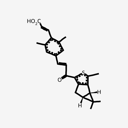 Cc1cc(/C=C/C(=O)c2sc(C)c3c2C[C@@H]2[C@H]3C2(C)C)cc(C)c1/C=C/C(=O)O